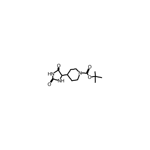 CC(C)(C)OC(=O)N1CCC(C2NC(=O)NC2=O)CC1